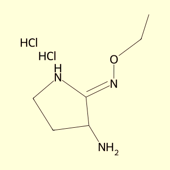 CCON=C1NCCC1N.Cl.Cl